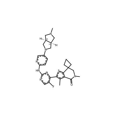 Cc1c(-c2nc(Nc3ccc(N4C[C@H]5CN(C)C[C@H]5C4)cn3)ncc2F)sc2c1C(=O)N(C)CC21CCC1